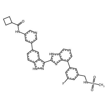 CS(=O)(=O)NCc1cc(F)cc(-c2cncc3[nH]c(-c4n[nH]c5ccc(-c6cncc(NC(=O)C7CCC7)c6)cc45)nc23)c1